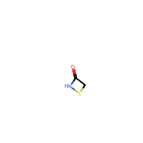 O=C1CSN1